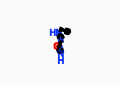 O=C(CCCN1CCC(N[C@@H]2CC2c2ccccc2)CC1)N1CCNCC1